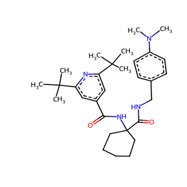 CN(C)c1ccc(CNC(=O)C2(NC(=O)c3cc(C(C)(C)C)nc(C(C)(C)C)c3)CCCCC2)cc1